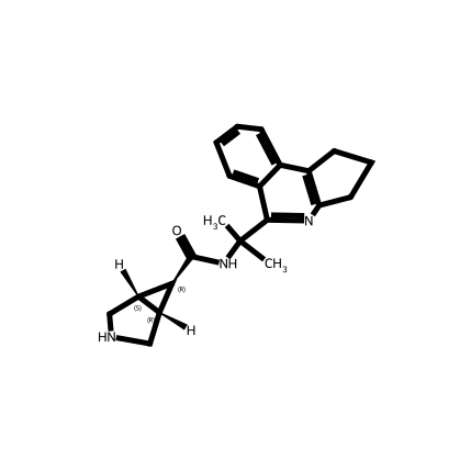 CC(C)(NC(=O)[C@H]1[C@@H]2CNC[C@@H]21)c1nc2c(c3ccccc13)CCC2